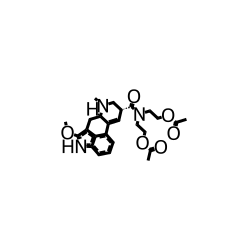 COc1[nH]c2cccc3c2c1C[C@@H]1C3=C[C@@H](C(=O)N(CCOC(C)=O)CCOC(C)=O)CN1C